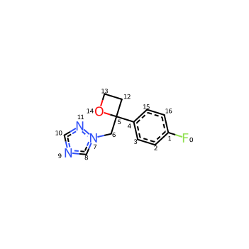 Fc1ccc(C2(Cn3cncn3)CCO2)cc1